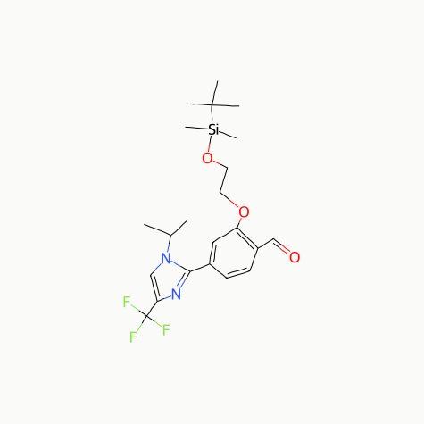 CC(C)n1cc(C(F)(F)F)nc1-c1ccc(C=O)c(OCCO[Si](C)(C)C(C)(C)C)c1